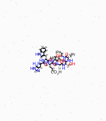 CC(C)C[C@H](NC(=O)[C@H](CC(C)C)NC(=O)[C@H](CO)NC(=O)[C@H](C)NC(=O)[C@H](CO)NC(=O)[C@H](CCC(=O)O)NC(=O)[C@H](Cc1c[nH]c2ccccc12)NC(=O)[C@@H](N)Cc1c[nH]cn1)C(=O)O